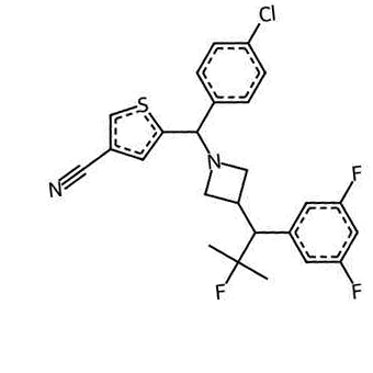 CC(C)(F)C(c1cc(F)cc(F)c1)C1CN(C(c2ccc(Cl)cc2)c2cc(C#N)cs2)C1